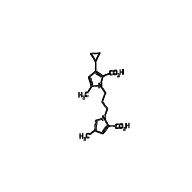 Cc1cc(C(=O)O)n(CCCn2c(C)cc(C3CC3)c2C(=O)O)c1